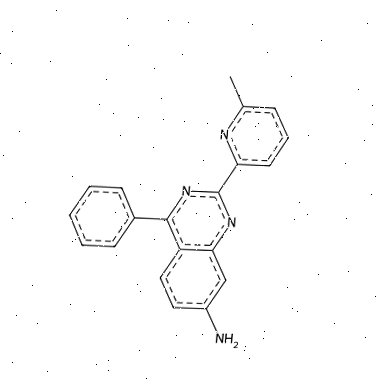 Cc1cccc(-c2nc(-c3ccccc3)c3ccc(N)cc3n2)n1